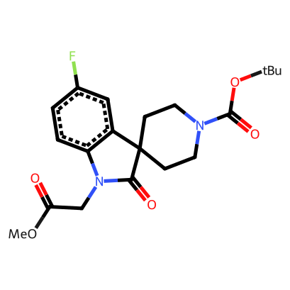 COC(=O)CN1C(=O)C2(CCN(C(=O)OC(C)(C)C)CC2)c2cc(F)ccc21